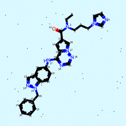 CCN(CCCn1ccnc1)C(=O)c1cc2c(Nc3ccc4c(cnn4Cc4ccccc4)c3)ncnn2c1